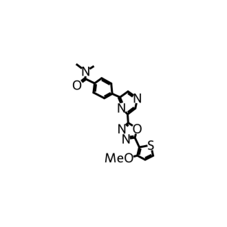 COc1ccsc1-c1nnc(-c2cncc(-c3ccc(C(=O)N(C)C)cc3)n2)o1